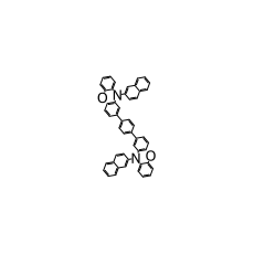 c1ccc2c(c1)Oc1ccc(-c3ccc(-c4ccc5c(c4)N(c4ccc6ccccc6c4)c4ccccc4O5)cc3)cc1N2c1ccc2ccccc2c1